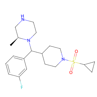 C[C@H]1CNCCN1C(c1cccc(F)c1)C1CCN(S(=O)(=O)C2CC2)CC1